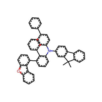 CC1(C)c2ccccc2-c2ccc(N(c3ccc(-c4ccccc4)cc3)c3cccc(-c4cccc5oc6ccccc6c45)c3-c3ccccc3)cc21